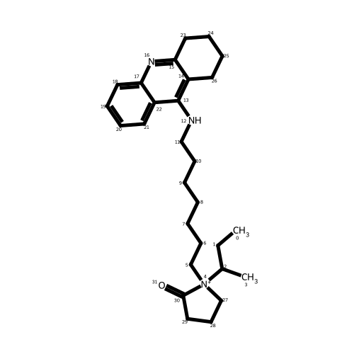 CCC(C)[N+]1(CCCCCCCNc2c3c(nc4ccccc24)CCCC3)CCCC1=O